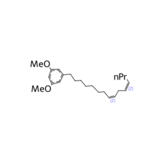 CCC/C=C\C/C=C\CCCCCCCc1cc(OC)cc(OC)c1